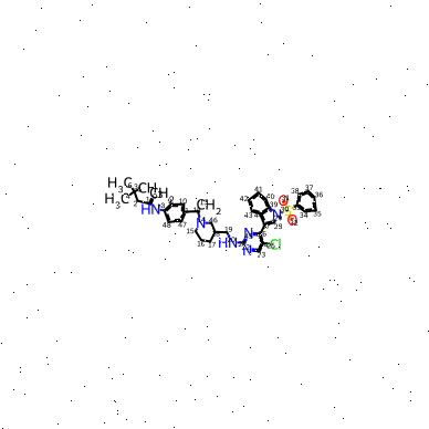 C=C(CC(C)(C)C)Nc1ccc(C(=C)N2CCCC(CNc3ncc(Cl)c(-c4cn(S(=O)(=O)c5ccccc5)c5ccccc45)n3)C2)cc1